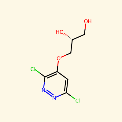 OC[C@@H](O)COc1cc(Cl)nnc1Cl